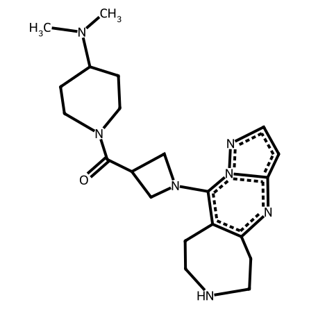 CN(C)C1CCN(C(=O)C2CN(c3c4c(nc5ccnn35)CCNCC4)C2)CC1